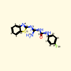 N/C(=N\c1nc2ccccc2s1)NC(=O)Nc1ccc(F)cc1